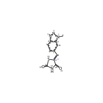 Cn1nnc2ccc(/C=C3\SC(=O)NC3=O)cc21